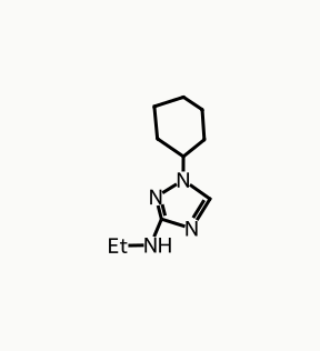 CCNc1ncn(C2CCCCC2)n1